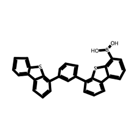 OB(O)c1cccc2c1sc1c(-c3cccc(-c4cccc5c4sc4ccccc45)c3)cccc12